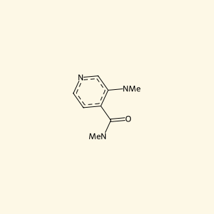 CNC(=O)c1ccncc1NC